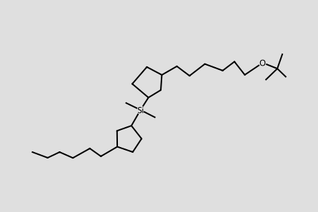 CCCCCCC1CCC([Si](C)(C)C2CCC(CCCCCCOC(C)(C)C)C2)C1